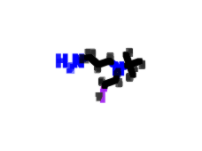 CC(C)(C)N(CCI)CCCN